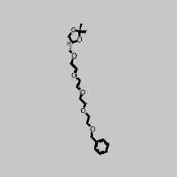 CC1(C)OC[C@@H](COCCOCCOCCOCCOCc2ccccc2)O1